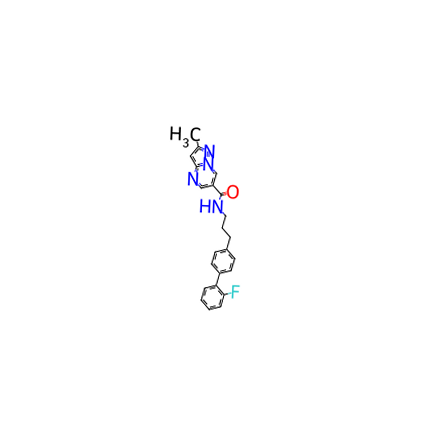 Cc1cc2ncc(C(=O)NCCCc3ccc(-c4ccccc4F)cc3)cn2n1